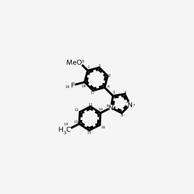 COc1ccc(-c2cncn2-c2ccc(C)cc2)cc1F